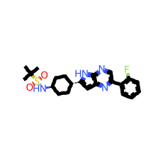 CC(C)(C)S(=O)(=O)N[C@H]1CC[C@H](c2cc3nc(-c4ccccc4F)cnc3[nH]2)CC1